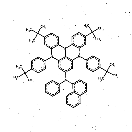 CC(C)(C)c1ccc(N2c3cc(C(C)(C)C)ccc3B3c4ccc(C(C)(C)C)cc4N(c4ccc(C(C)(C)C)cc4)c4cc(N(c5ccccc5)c5cccc6ccccc56)cc2c43)cc1